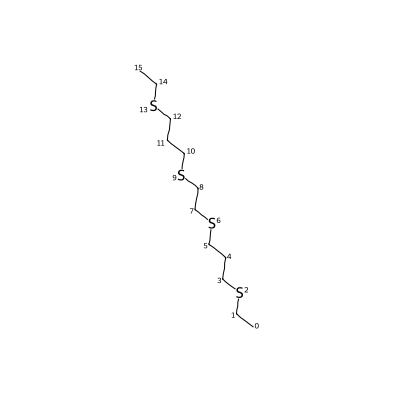 CCSCCCSCCSCCCSCC